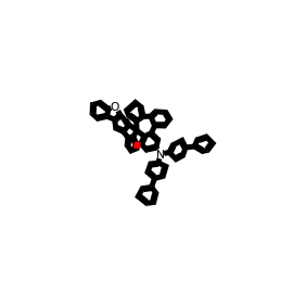 c1ccc(-c2ccc(N(c3ccc(-c4ccccc4)cc3)c3ccc4c(c3)-c3ccccc3-c3ccccc3C43c4ccccc4-c4cc5c(cc43)oc3ccccc35)cc2)cc1